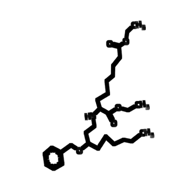 CCCCCCC(CCNC(CCCCCCC(=O)OCC)C(=O)OCC)OCc1ccccc1